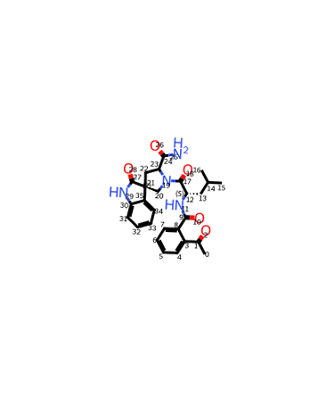 CC(=O)c1ccccc1C(=O)N[C@@H](CC(C)C)C(=O)N1C[C@]2(CC1C(N)=O)C(=O)Nc1ccccc12